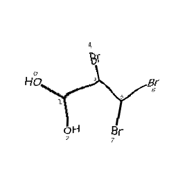 OC(O)C(Br)C(Br)Br